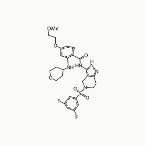 COCCOc1ccc(C(=O)Nc2[nH]nc3c2CN(S(=O)(=O)c2cc(F)cc(F)c2)CC3)c(NC2CCOCC2)c1